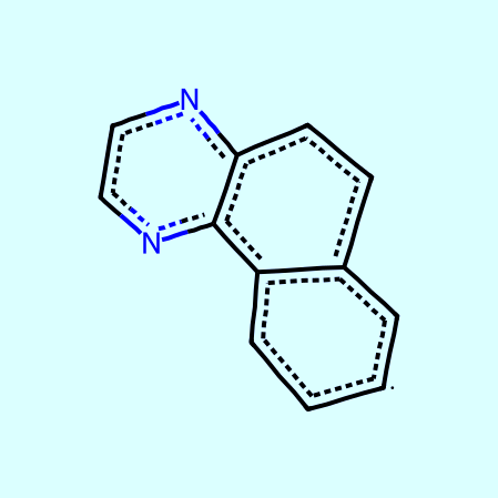 [c]1ccc2c(c1)ccc1nccnc12